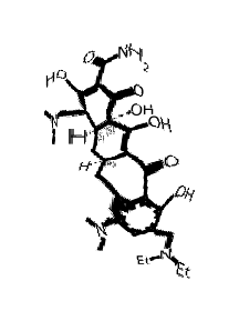 CCN(CC)Cc1cc(N(C)C)c2c(c1O)C(=O)C1=C(O)[C@]3(O)C(=O)C(C(N)=O)=C(O)C(N(C)C)[C@@H]3C[C@@H]1C2